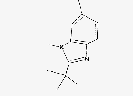 Cc1ccc2nc(C(C)(C)C)n(C)c2c1